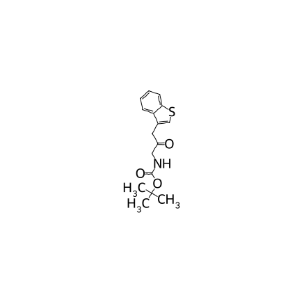 CC(C)(C)OC(=O)NCC(=O)Cc1csc2ccccc12